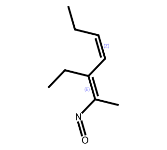 CC/C=C\C(CC)=C(/C)N=O